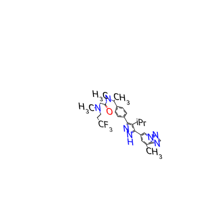 Cc1cc(-c2[nH]nc(-c3ccc(C(C)N(C)C(=O)CN(C)CCC(F)(F)F)cc3)c2C(C)C)cn2ncnc12